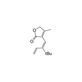 C=C/C(=C\C1=C(C)COC1=O)C(C)(C)C